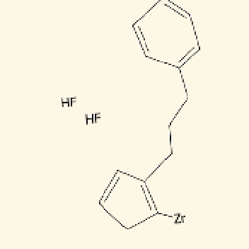 F.F.[Zr][C]1=C(CCCc2ccccc2)C=CC1